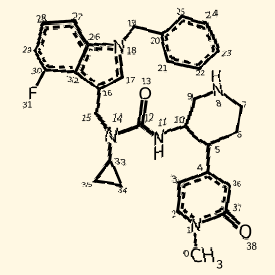 Cn1ccc(C2CCNCC2NC(=O)N(Cc2cn(Cc3ccccc3)c3cccc(F)c23)C2CC2)cc1=O